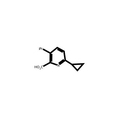 CC(C)c1ccc(C2CC2)nc1C(=O)O